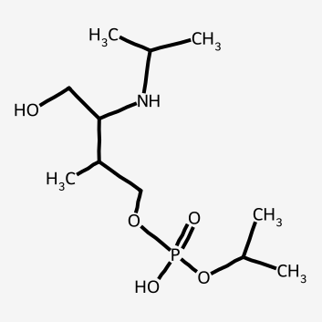 CC(C)NC(CO)C(C)COP(=O)(O)OC(C)C